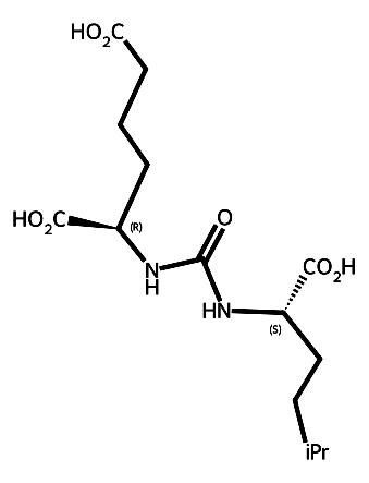 CC(C)CC[C@H](NC(=O)N[C@H](CCCC(=O)O)C(=O)O)C(=O)O